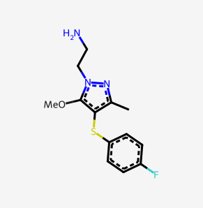 COc1c(Sc2ccc(F)cc2)c(C)nn1CCN